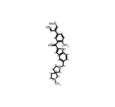 CN/C=C(\C=N)c1ccc(N)c(C(=N)c2cc3cc(CN4CCC5(CCN(C)C5)C4)ccc3[nH]2)c1